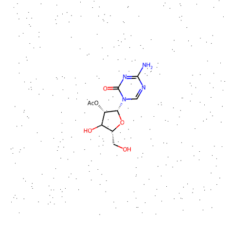 CC(=O)O[C@H]1C(O)[C@@H](CO)O[C@H]1n1cnc(N)nc1=O